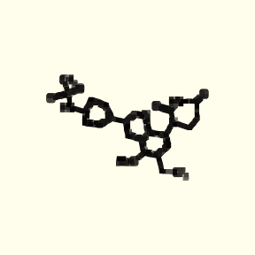 COc1c(CC(F)(F)F)cc(N2CCC(=O)NC2=O)c2ncc(-c3ccc(NS(C)(=O)=O)cc3)cc12